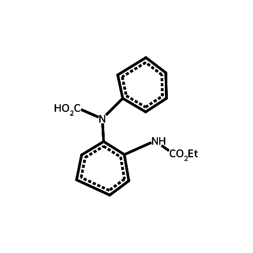 CCOC(=O)Nc1ccccc1N(C(=O)O)c1ccccc1